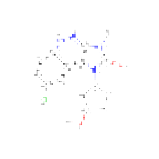 CO[C@@H]1CC[C@@H](n2c(=O)n(C)c3nnc4ccc(Cl)cc4c32)C1